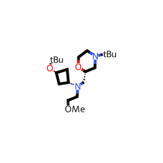 COCCN(C[C@H]1CN(C(C)(C)C)CCO1)[C@H]1C[C@@H](OC(C)(C)C)C1